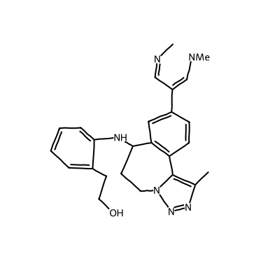 C/N=C\C(=C/NC)c1ccc2c(c1)C(Nc1ccccc1CCO)CCn1nnc(C)c1-2